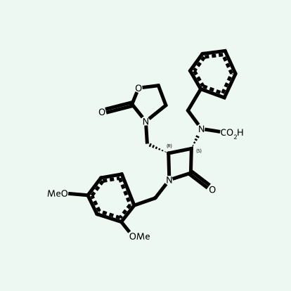 COc1ccc(CN2C(=O)[C@@H](N(Cc3ccccc3)C(=O)O)[C@H]2CN2CCOC2=O)c(OC)c1